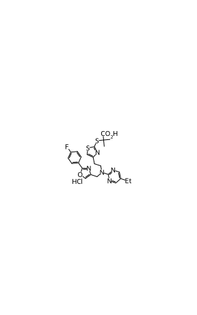 CCc1cnc(N(CCc2csc(SC(C)(C)C(=O)O)n2)Cc2coc(-c3ccc(F)cc3)n2)nc1.Cl